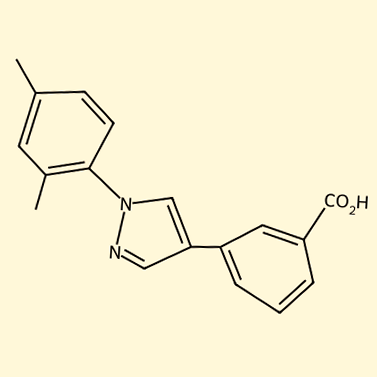 Cc1ccc(-n2cc(-c3cccc(C(=O)O)c3)cn2)c(C)c1